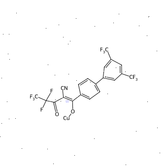 N#C/C(C(=O)C(F)(F)C(F)(F)F)=C(/[O][Cu])c1ccc(-c2cc(C(F)(F)F)cc(C(F)(F)F)c2)cc1